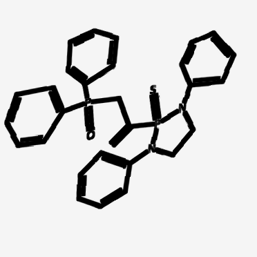 C=C(CP(=O)(c1ccccc1)c1ccccc1)P1(=S)N(c2ccccc2)CCN1c1ccccc1